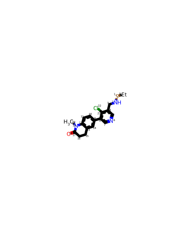 CCSNCc1cncc(-c2ccc3c(c2)CCC(=O)N3C)c1Cl